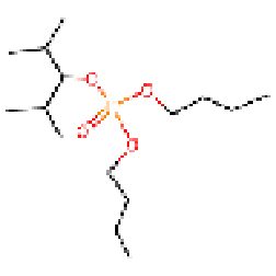 CCCCOP(=O)(OCCCC)OC(C(C)C)C(C)C